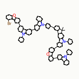 CC1(C)c2ccc(-c3ccc(-n4c5ccccc5c5cc(-c6ccc7c(c6)c6cc(-c8ccc9oc%10cccc(Br)c%10c9c8)ccc6n7-c6ccccc6)ccc54)cc3)cc2-c2cc3c4cc(-c5ccc6oc7cccc(-c8ccc9c(c8)c8ccccc8n9-c8ccccc8)c7c6c5)ccc4n(-c4ccccc4)c3cc21